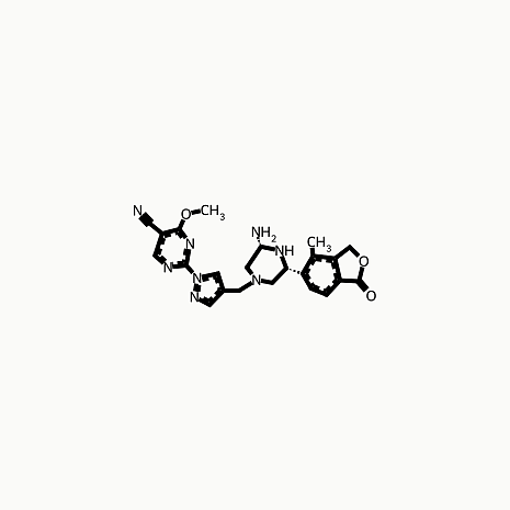 COc1nc(-n2cc(CN3C[C@@H](c4ccc5c(c4C)COC5=O)N[C@@H](N)C3)cn2)ncc1C#N